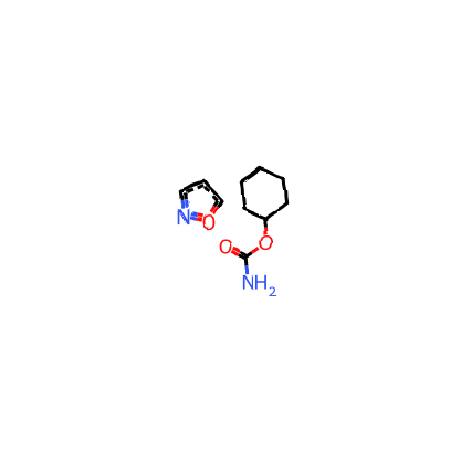 NC(=O)OC1CCCCC1.c1cnoc1